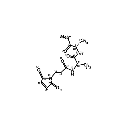 CSC(=O)[C@H](C)NC(=O)[C@H](C)NC(=O)CCN1C(=O)C=CC1=O